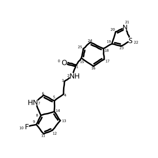 O=C(NCCc1c[nH]c2c(F)cccc12)c1ccc(-c2cnsc2)cc1